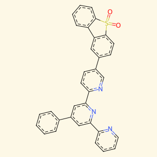 O=S1(=O)c2ccccc2-c2cc(-c3ccc(-c4cc(-c5ccccc5)cc(-c5ccccn5)n4)nc3)ccc21